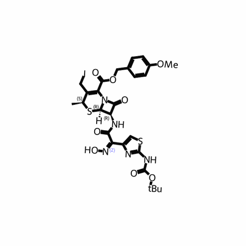 COc1ccc(COC(=O)C2=C(CI)[C@H](C)S[C@@H]3[C@H](NC(=O)/C(=N\O)c4csc(NC(=O)OC(C)(C)C)n4)C(=O)N23)cc1